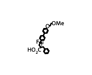 COCCOc1ccc(-c2ccc(C(F)(F)CC(Cc3ccccc3)C(=O)O)cc2)cc1